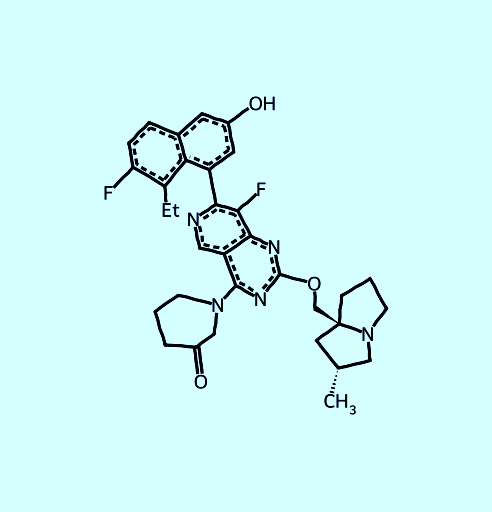 CCc1c(F)ccc2cc(O)cc(-c3ncc4c(N5CCCC(=O)C5)nc(OC[C@@]56CCCN5C[C@H](C)C6)nc4c3F)c12